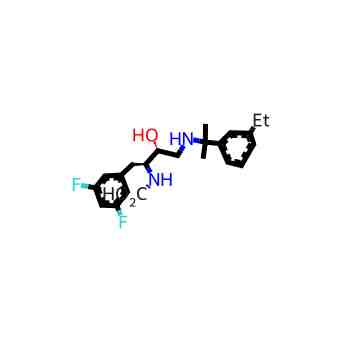 CCc1cccc(C(C)(C)NC[C@@H](O)[C@H](Cc2cc(F)cc(F)c2)NC(=O)O)c1